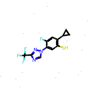 Fc1cc(C2CC2)c(S)cc1-n1cnc(C(F)(F)F)n1